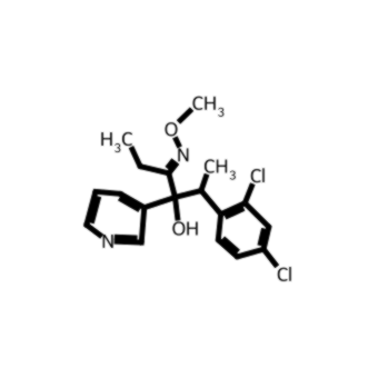 CC/C(=N\OC)C(O)(c1cccnc1)C(C)c1ccc(Cl)cc1Cl